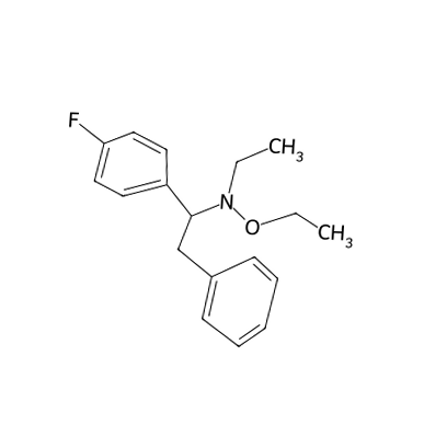 CCON(CC)C(Cc1ccccc1)c1ccc(F)cc1